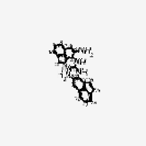 N=C(Nc1c(N)cc2cccc3c2c1C=C3)Nc1c(N)cc2cccc3c2c1C=C3